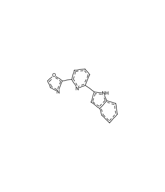 c1cc(-c2cc3ccccc3[nH]2)nc(-c2ncco2)c1